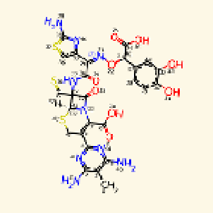 Cc1c(N)nc(C2=C(C(=O)O)N3C(=O)C(C=S)(NC(=O)/C(=N\O[C@@H](C(=O)O)c4ccc(O)c(O)c4)c4csc(N)n4)[C@@H]3SC2)nc1N